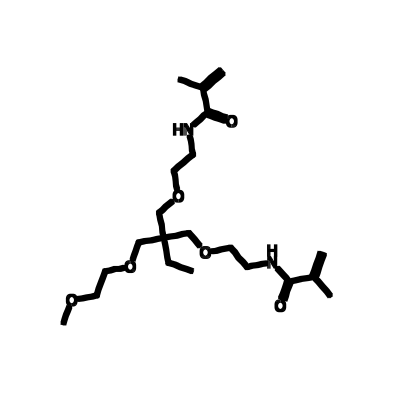 C=C(C)C(=O)NCCOCC(CC)(COCCNC(=O)C(=C)C)COCCOC